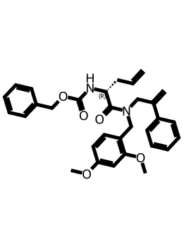 C=CC[C@@H](NC(=O)OCc1ccccc1)C(=O)N(CC(=C)c1ccccc1)Cc1ccc(OC)cc1OC